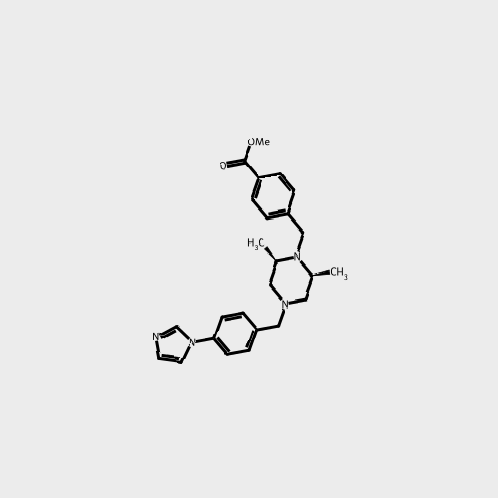 COC(=O)c1ccc(CN2[C@H](C)CN(Cc3ccc(-n4ccnc4)cc3)C[C@@H]2C)cc1